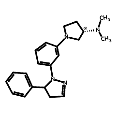 CN(C)[C@H]1CCN(c2cccc(N3N=CCC3c3ccccc3)c2)C1